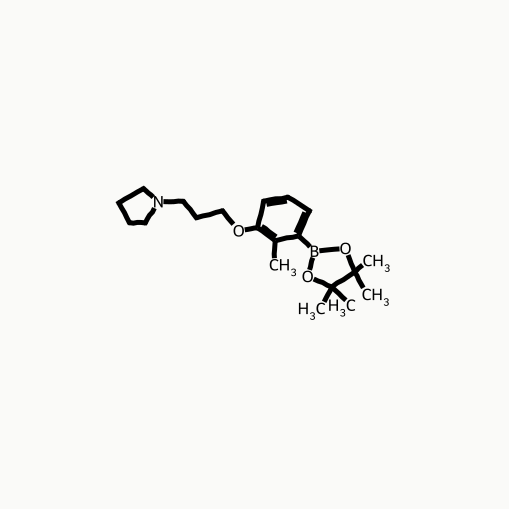 Cc1c(OCCCN2CCCC2)cccc1B1OC(C)(C)C(C)(C)O1